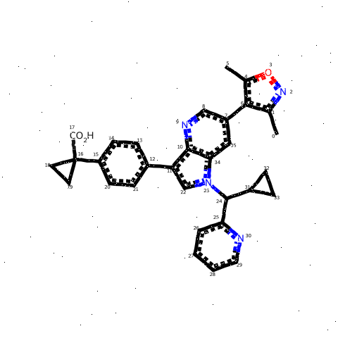 Cc1noc(C)c1-c1cnc2c(-c3ccc(C4(C(=O)O)CC4)cc3)cn(C(c3ccccn3)C3CC3)c2c1